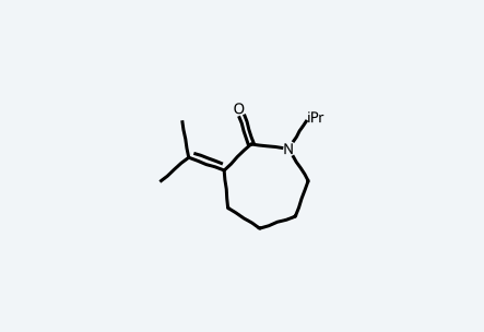 CC(C)=C1CCCCN(C(C)C)C1=O